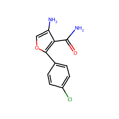 NC(=O)c1c(N)coc1-c1ccc(Cl)cc1